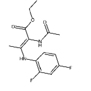 CCOC(=O)C(NC(C)=O)=C(C)Nc1ccc(F)cc1F